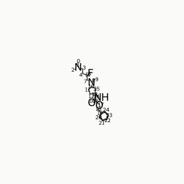 CN(C)CCC(F)CN(C)C1CC[C@H](NC(=O)OCc2ccccc2)C1